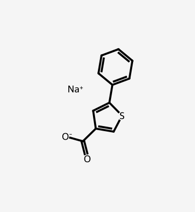 O=C([O-])c1csc(-c2ccccc2)c1.[Na+]